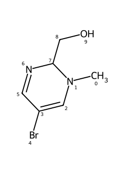 CN1C=C(Br)C=NC1CO